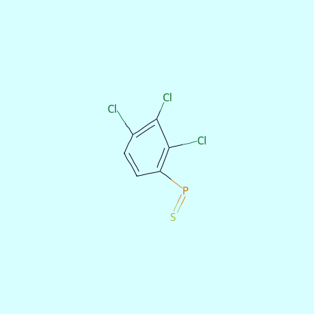 S=Pc1ccc(Cl)c(Cl)c1Cl